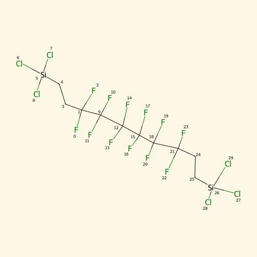 FC(F)(CC[Si](Cl)(Cl)Cl)C(F)(F)C(F)(F)C(F)(F)C(F)(F)C(F)(F)CC[Si](Cl)(Cl)Cl